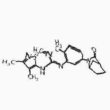 C=N/C(=N\c1cc(N2C(=O)C3CCC2C3)ccc1C)Nc1snc(C)c1C